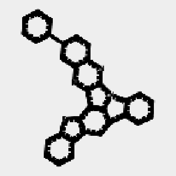 c1ccc(-c2ccc3nc4c(nc3c2)c2c3sc5ccccc5c3cc3c5ccccc5n4c32)cc1